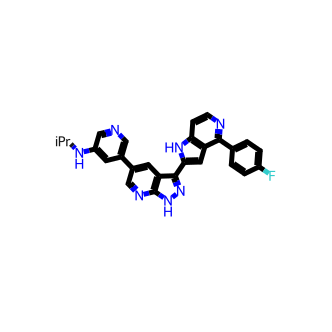 CC(C)Nc1cncc(-c2cnc3[nH]nc(-c4cc5c(-c6ccc(F)cc6)nccc5[nH]4)c3c2)c1